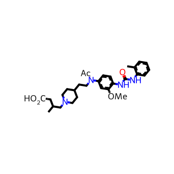 COc1cc(N(CCC2CCN(CC(C)CC(=O)O)CC2)C(C)=O)ccc1NC(=O)Nc1ccccc1C